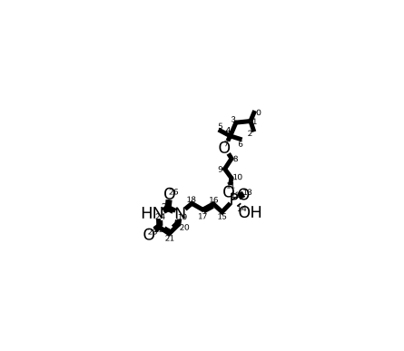 CC(C)CC(C)(C)OCCCOP(=O)(O)C/C=C/Cn1ccc(=O)[nH]c1=O